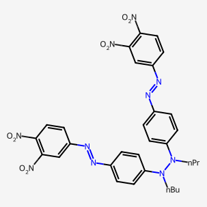 CCCCN(c1ccc(N=Nc2ccc([N+](=O)[O-])c([N+](=O)[O-])c2)cc1)N(CCC)c1ccc(N=Nc2ccc([N+](=O)[O-])c([N+](=O)[O-])c2)cc1